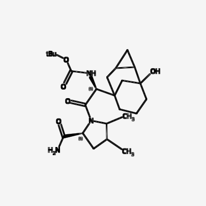 CC1C[C@@H](C(N)=O)N(C(=O)[C@@H](NC(=O)OC(C)(C)C)C23CCCC(O)(C2)C2CC2C3)C1C